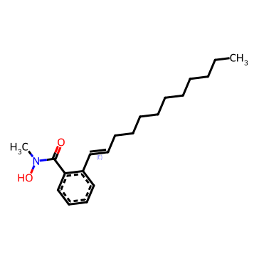 CCCCCCCCCC/C=C/c1ccccc1C(=O)N(C)O